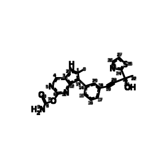 Cc1[nH]c2cnc(OC(N)=O)nc2c1-c1cccc(C#CC(C)(O)c2nccs2)c1